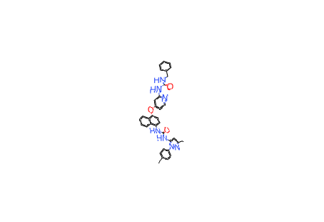 Cc1ccc(-n2nc(C)cc2NC(=O)Nc2ccc(Oc3ccnc(NC(=O)NCc4ccccc4)c3)c3ccccc23)cc1